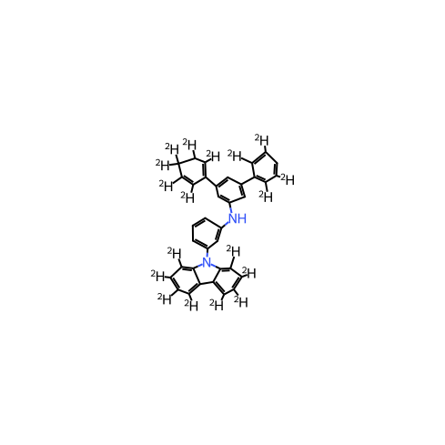 [2H]C1=C([2H])C([2H])([2H])C([2H])C([2H])=C1c1cc(Nc2cccc(-n3c4c([2H])c([2H])c([2H])c([2H])c4c4c([2H])c([2H])c([2H])c([2H])c43)c2)cc(-c2c([2H])c([2H])cc([2H])c2[2H])c1